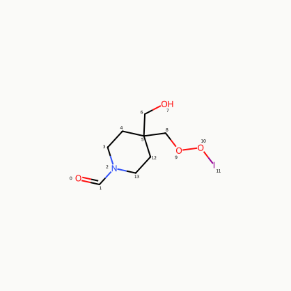 O=CN1CCC(CO)(COOI)CC1